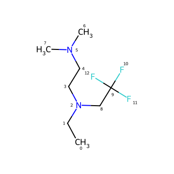 CCN(CCN(C)C)CC(F)(F)F